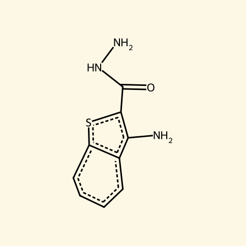 NNC(=O)c1sc2ccccc2c1N